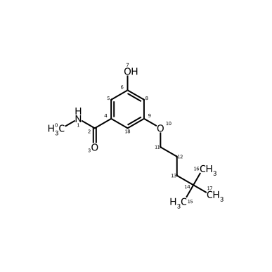 CNC(=O)c1cc(O)cc(OCCCC(C)(C)C)c1